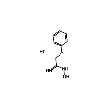 Cl.N=C(COc1ccccc1)NO